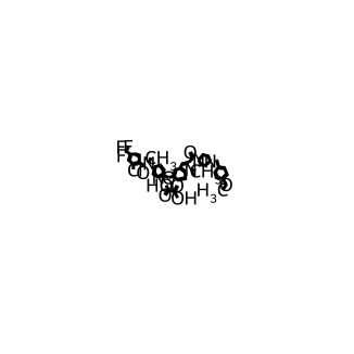 COc1ccc(CN2CCN(C(=O)c3cc4cc(Oc5ccc(N(C)C(=O)c6ccc(C(F)(F)F)cc6Cl)cn5)ccc4n3C)CC2)cc1.O=C(O)C(=O)O